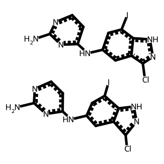 Nc1nccc(Nc2cc(I)c3[nH]nc(Cl)c3c2)n1.Nc1nccc(Nc2cc(I)c3[nH]nc(Cl)c3c2)n1